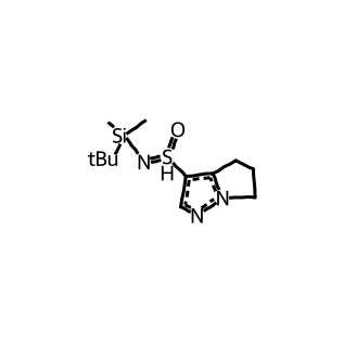 CC(C)(C)[Si](C)(C)/N=[SH](=O)/c1cnn2c1CCC2